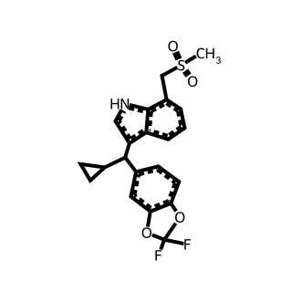 CS(=O)(=O)Cc1cccc2c(C(c3ccc4c(c3)OC(F)(F)O4)C3CC3)c[nH]c12